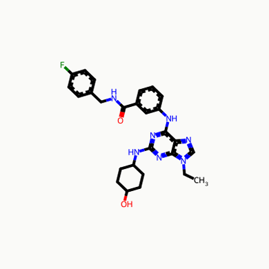 CCn1cnc2c(Nc3cccc(C(=O)NCc4ccc(F)cc4)c3)nc(NC3CCC(O)CC3)nc21